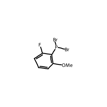 COc1cccc(F)c1P(Br)Br